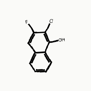 Oc1c(Cl)c(F)cc2ccccc12